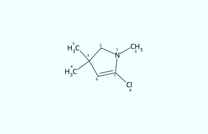 CN1CC(C)(C)C=C1Cl